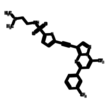 CN(C)CCNS(=O)(=O)c1ccc(C#Cc2cnn3c(C(F)(F)F)cc(-c4cccc(C(F)(F)F)c4)nc23)s1